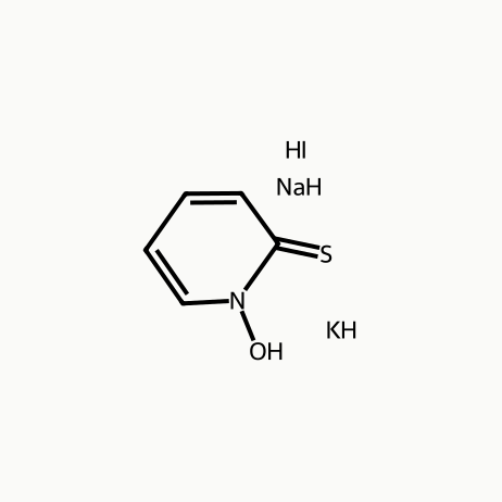 I.On1ccccc1=S.[KH].[NaH]